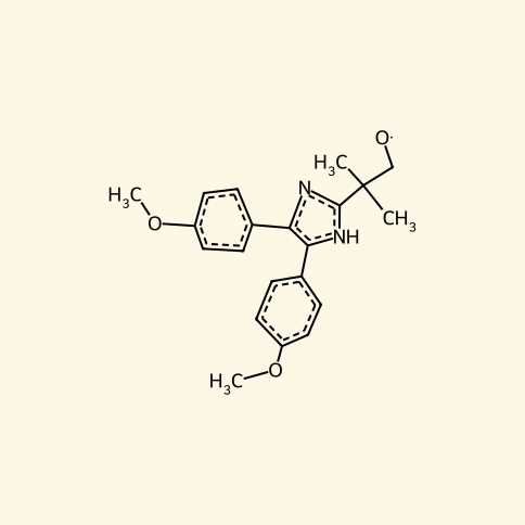 COc1ccc(-c2nc(C(C)(C)C[O])[nH]c2-c2ccc(OC)cc2)cc1